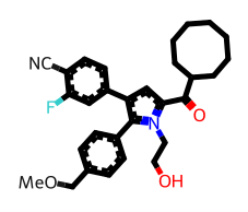 COCc1ccc(-c2c(-c3ccc(C#N)c(F)c3)cc(C(=O)C3CCCCCCC3)n2CCO)cc1